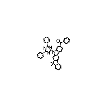 CC1(C)c2ccccc2-c2cc3c4ccc(C(=O)c5ccccc5)cc4n(-c4nc(-c5ccccc5)nc(-c5ccccc5)n4)c3cc21